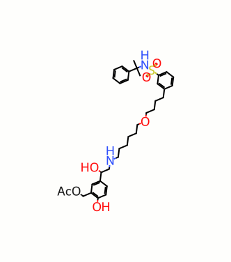 CC(=O)OCc1cc([C@@H](O)CNCCCCCCOCCCCc2cccc(S(=O)(=O)NC(C)(C)c3ccccc3)c2)ccc1O